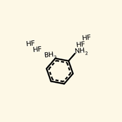 B.F.F.F.F.Nc1ccccc1